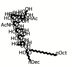 CCCCCCCC/C=C\CCCCCCCCCCCCCC(=O)N[C@@H](CO[C@@H]1OC(CO)[C@@H](O[C@@H]2OC(CO)[C@H](O)[C@H](O[C@H]3OC(CO)[C@H](O)[C@H](O[C@@H]4OC(CO)[C@H](O)[C@H](O[C@@H]5OC(CO[C@]6(C(=O)O)CC(O)[C@@H](NC(C)=O)C([C@H](O)[C@H](O)CO)O6)[C@H](O)[C@H](O)C5O)C4NC(C)=O)C3O)C2O)[C@H](O)C1O)[C@H](O)/C=C/CCCCCCCCCCCCC